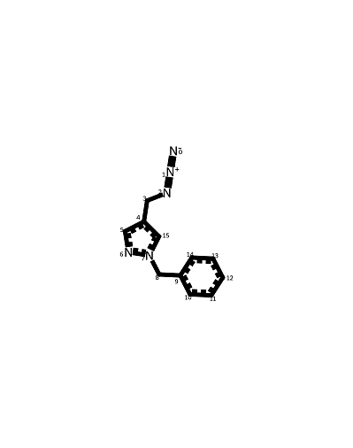 [N-]=[N+]=NCc1cnn(Cc2ccccc2)c1